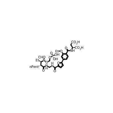 CCCCC[C@@H](C(=O)NCNC(=O)c1ccc(-c2ccc(C(=O)N[C@@H](CC(=O)O)C(=O)O)c(OCC)c2)o1)[C@@H](CC)N(C=O)OCOP(=O)(O)O